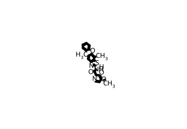 COc1ccnc(C(=O)Nc2nc3ccc(Oc4ccccc4C)c(C)c3s2)c1O